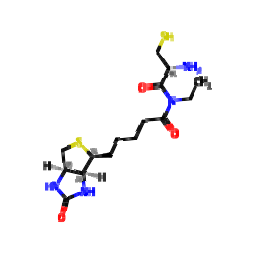 CCN(C(=O)CCCC[C@@H]1SC[C@@H]2NC(=O)N[C@@H]21)C(=O)[C@@H](N)CS